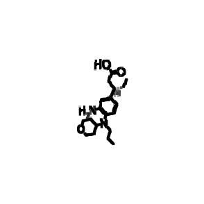 CCCN(c1ccc([C@@H](CC)CC(=O)O)cc1N)C1CCOCC1